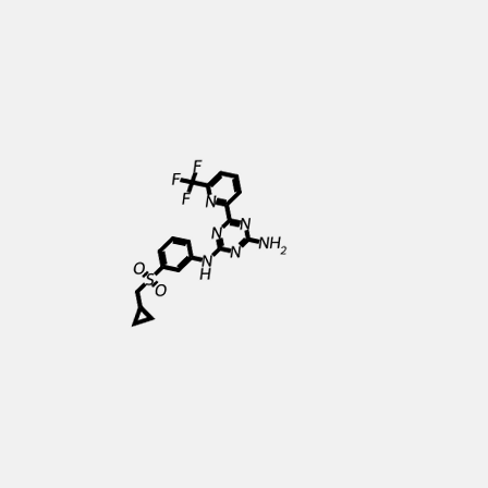 Nc1nc(Nc2cccc(S(=O)(=O)CC3CC3)c2)nc(-c2cccc(C(F)(F)F)n2)n1